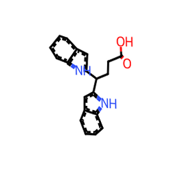 O=C(O)CCC(c1cc2ccccc2[nH]1)c1cc2ccccc2[nH]1